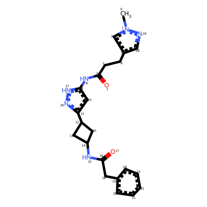 Cn1cc(CCC(=O)Nc2cc(C3CC(NC(=O)Cc4ccccc4)C3)n[nH]2)cn1